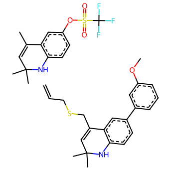 C=CCSCC1=CC(C)(C)Nc2ccc(-c3cccc(OC)c3)cc21.CC1=CC(C)(C)Nc2ccc(OS(=O)(=O)C(F)(F)F)cc21